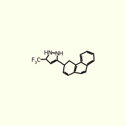 FC(F)(F)C1C=C(C2C=Cc3ccc4ccccc4c3C2)NN1